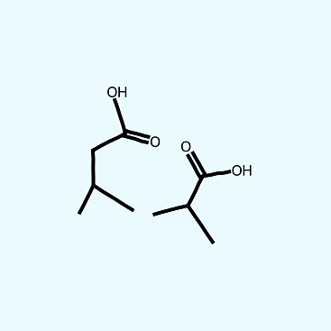 CC(C)C(=O)O.CC(C)CC(=O)O